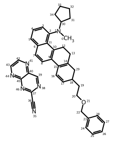 CN(c1cccc2ccc3c(c12)CCC1=C3C=CC(CCOCc2ccccc2)C1)C1CCCC1.N#Cc1ncc2nccnc2n1